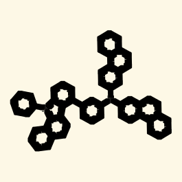 c1ccc(-n2c3cccc(-c4cccc(N(c5ccc6c(ccc7ccccc76)c5)c5ccc6c(ccc7ccccc76)c5)c4)c3c3ccc4ccccc4c32)cc1